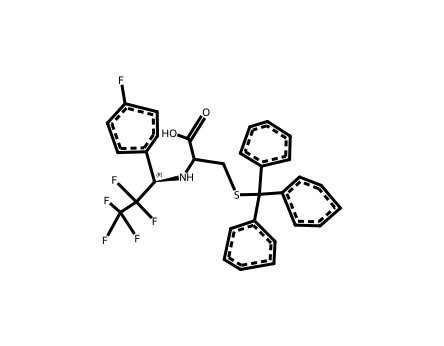 O=C(O)C(CSC(c1ccccc1)(c1ccccc1)c1ccccc1)N[C@H](c1ccc(F)cc1)C(F)(F)C(F)(F)F